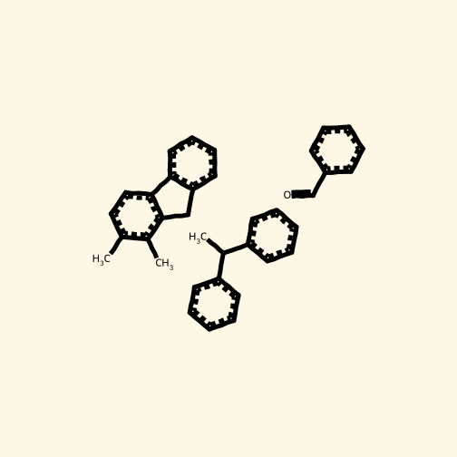 CC(c1ccccc1)c1ccccc1.Cc1ccc2c(c1C)Cc1ccccc1-2.O=Cc1ccccc1